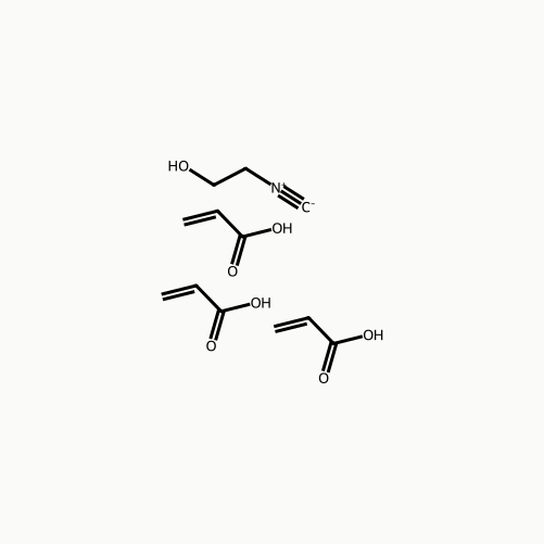 C=CC(=O)O.C=CC(=O)O.C=CC(=O)O.[C-]#[N+]CCO